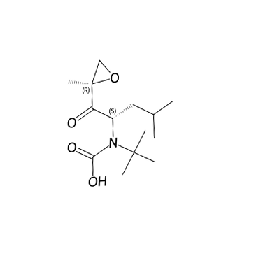 CC(C)C[C@@H](C(=O)[C@@]1(C)CO1)N(C(=O)O)C(C)(C)C